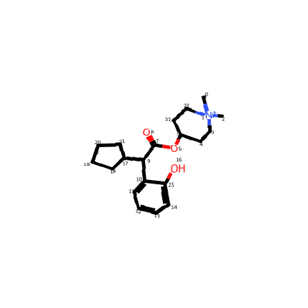 C[N+]1(C)CCC(OC(=O)C(c2ccccc2O)C2CCCC2)CC1